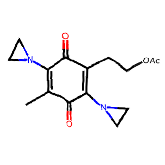 CC(=O)OCCC1=C(N2CC2)C(=O)C(C)=C(N2CC2)C1=O